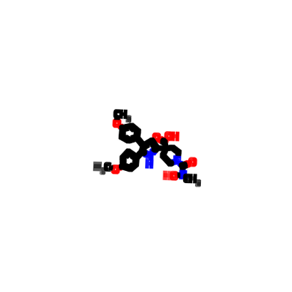 COc1ccc(-c2cc(C3(C(=O)O)CCN(C(=O)N(C)O)CC3)[nH]c2-c2ccc(OC)cc2)cc1